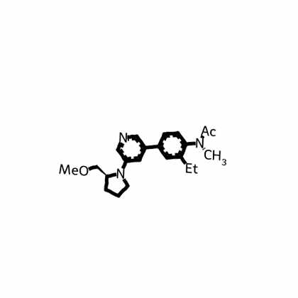 CCc1cc(-c2cncc(N3CCC[C@H]3COC)c2)ccc1N(C)C(C)=O